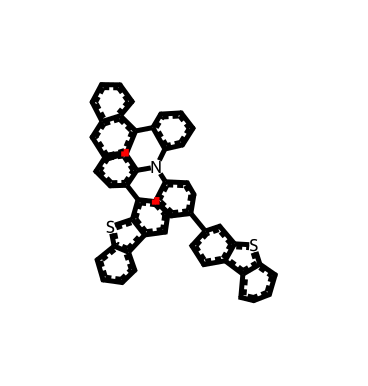 c1ccc(N(c2ccc(-c3ccc4c(c3)sc3ccccc34)cc2)c2ccccc2-c2cccc3c2sc2ccccc23)c(-c2cccc3ccccc23)c1